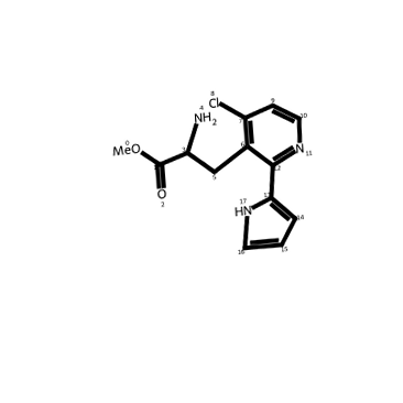 COC(=O)C(N)Cc1c(Cl)ccnc1-c1ccc[nH]1